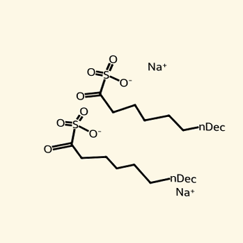 CCCCCCCCCCCCCCCC(=O)S(=O)(=O)[O-].CCCCCCCCCCCCCCCC(=O)S(=O)(=O)[O-].[Na+].[Na+]